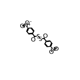 O=C(SSC(=O)c1ccc([N+](=O)[O-])cc1)c1ccc([N+](=O)[O-])cc1